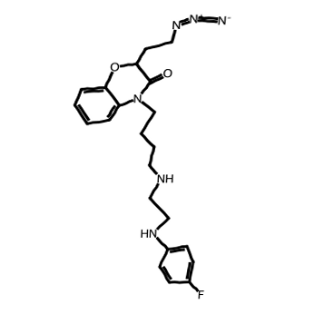 [N-]=[N+]=NCCC1Oc2ccccc2N(CCCCNCCNc2ccc(F)cc2)C1=O